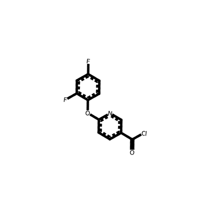 O=C(Cl)c1ccc(Oc2ccc(F)cc2F)nc1